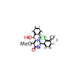 COc1cn(Cc2ccccc2CO)c(-c2cccc(C(F)(F)F)c2Cl)nc1=O